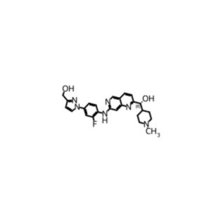 CN1CCC([C@@H](O)c2ccc3cnc(Nc4ccc(-n5ccc(CO)n5)cc4F)cc3n2)CC1